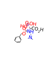 CN(C)C.O=C(NC(C(=O)O)P(=O)(O)O)OCc1ccccc1